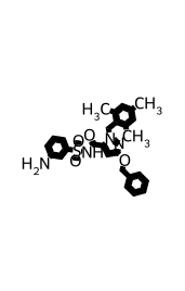 Cc1cc(C)c(Cn2nc(OCc3ccccc3)cc2C(=O)NS(=O)(=O)c2cccc(N)c2)c(C)c1